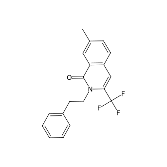 Cc1ccc2cc(C(F)(F)F)n(CCc3ccccc3)c(=O)c2c1